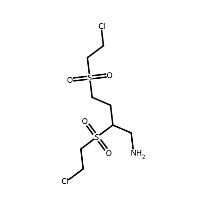 NCC(CCS(=O)(=O)CCCl)S(=O)(=O)CCCl